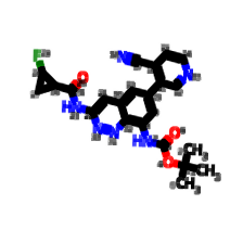 CC(C)(C)OC(=O)Nc1cc(-c2cnccc2C#N)cc2cc(NC(=O)C3CC3F)nnc12